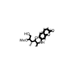 COC(CO)[C@@H](F)C(O)C(C)Nc1ccc2ccc(=O)oc2c1